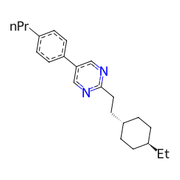 CCCc1ccc(-c2cnc(CC[C@H]3CC[C@H](CC)CC3)nc2)cc1